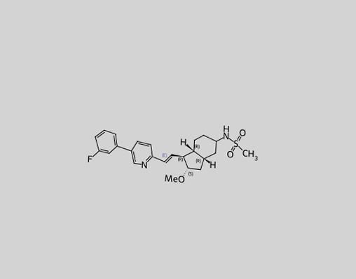 CO[C@H]1C[C@H]2CC(NS(C)(=O)=O)CC[C@H]2[C@@H]1/C=C/c1ccc(-c2cccc(F)c2)cn1